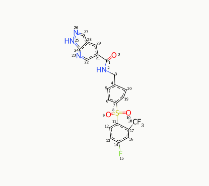 O=C(NCc1ccc(S(=O)(=O)c2ccc(F)cc2C(F)(F)F)cc1)c1cnc2[nH]ncc2c1